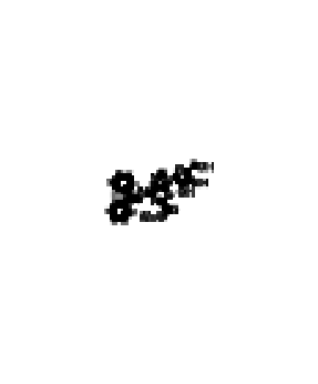 COC(=O)c1nc(NCC(c2ccccc2)c2ccccc2)c2ncn([C@@H]3O[C@H](CO)[C@@H](O)[C@@H]3O)c2n1